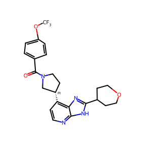 O=C(c1ccc(OC(F)(F)F)cc1)N1CC[C@H](c2ccnc3[nH]c(C4CCOCC4)nc23)C1